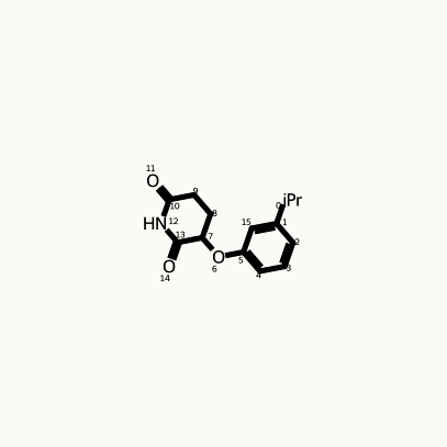 CC(C)c1cccc(OC2CCC(=O)NC2=O)c1